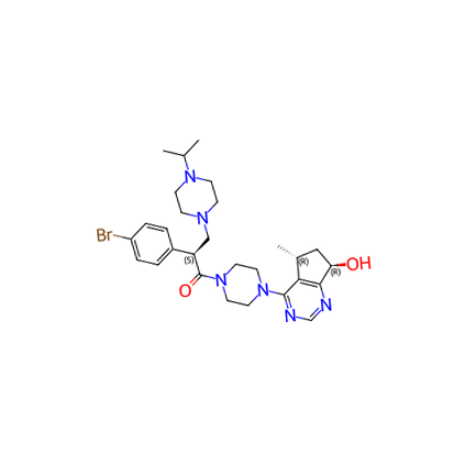 CC(C)N1CCN(C[C@@H](C(=O)N2CCN(c3ncnc4c3[C@H](C)C[C@H]4O)CC2)c2ccc(Br)cc2)CC1